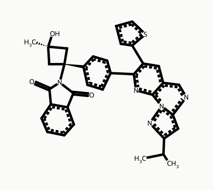 CC(C)c1cc2ncc3cc(-c4cccs4)c(-c4ccc([C@]5(N6C(=O)c7ccccc7C6=O)C[C@](C)(O)C5)cc4)nc3n2n1